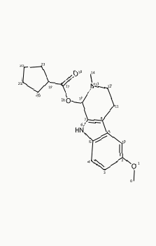 COc1ccc2[nH]c3c(c2c1)CCN(C)C3OC(=O)C1CCCC1